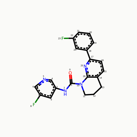 O=C(Nc1cncc(F)c1)N1CCCc2ccc(-c3cccc(F)c3)nc21